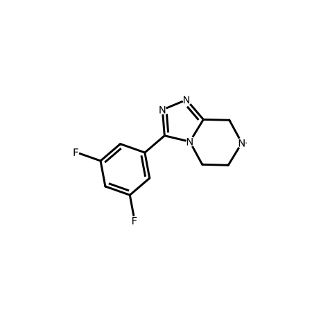 Fc1cc(F)cc(-c2nnc3n2CC[N]C3)c1